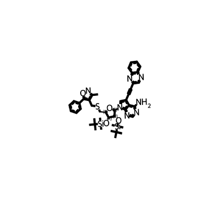 Cc1noc(-c2ccccc2)c1CSC[C@H]1O[C@@H](n2cc(C#Cc3cnc4ccccc4n3)c3c(N)ncnc32)[C@H](O[Si](C)(C)C(C)(C)C)[C@@H]1O[Si](C)(C)C(C)(C)C